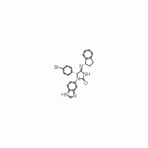 O=C1NC(=N[C@H]2CCc3ccccc32)[C@@H](c2ccc(Br)cc2)N1c1ccc2[nH]cnc2c1